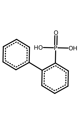 O=P(O)(O)c1ccccc1-c1ccccc1